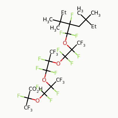 CCC(C)(C)CC(F)(C(C)(C)CC)C(F)(F)OC(F)(C(F)(F)F)C(F)(F)OC(F)(C(F)(F)F)C(F)(F)OC(F)(C(F)(F)F)C(F)(F)OC(F)(C(=O)O)C(F)(F)F